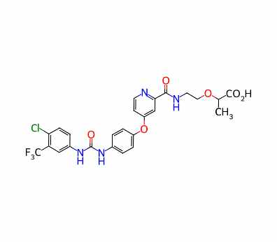 CC(OCCNC(=O)c1cc(Oc2ccc(NC(=O)Nc3ccc(Cl)c(C(F)(F)F)c3)cc2)ccn1)C(=O)O